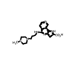 CN1CCN(CCCNc2nc3cc(C(=O)O)[nH]c3c3cnccc23)CC1